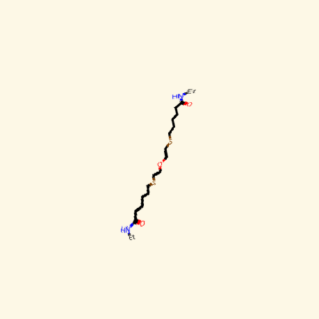 CCNC(=O)CCCCCSCCOCCSCCCCCC(=O)NCC